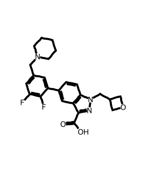 O=C(O)c1nn(CC2COC2)c2ccc(-c3cc(CN4CCCCC4)cc(F)c3F)cc12